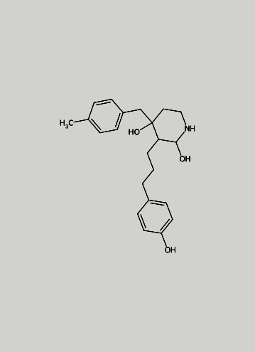 Cc1ccc(CC2(O)CCNC(O)C2CCCc2ccc(O)cc2)cc1